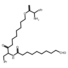 C=C(OCCCCCCCC(=O)C(CC(C)C)NC(=O)CCCCCCCCC=O)C(N)CCC